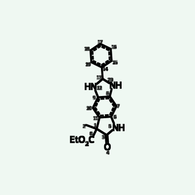 CCOC(=O)C1(C)C(=O)Nc2cc3c(cc21)NC(c1ccccc1)N3